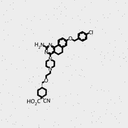 N#C[C@]1(C(=O)O)CC[C@H](COCCN2CCN(c3nc(N)nc4c3CCc3cc(OCc5ccc(Cl)cc5)ccc3-4)CC2)CC1